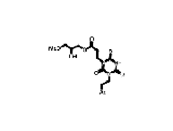 COCC(O)COC(=O)CCn1c(=O)[nH]c(=O)n(CCC(C)=O)c1=O